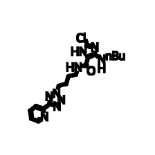 CCCCNc1nc(Cl)[nH]c1C(=O)NCCCCn1nnc(-c2ccccn2)n1